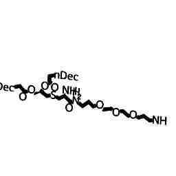 CCCCCCCCCCCC(=O)OC[C@H](CSC[C@H](N)C(=O)NCCCOCCOCCOCCCN)OC(=O)CCCCCCCCCCC